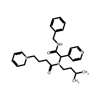 CC(C)CCN(C(=O)CCCN1C=CC=CC1)C(C(=O)NCc1ccccc1)c1ccncc1